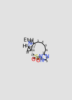 CCN1[C@@H]2CCCCc3ncnn3S(=O)(=O)C[C@]3(C2)C[C@@H]13